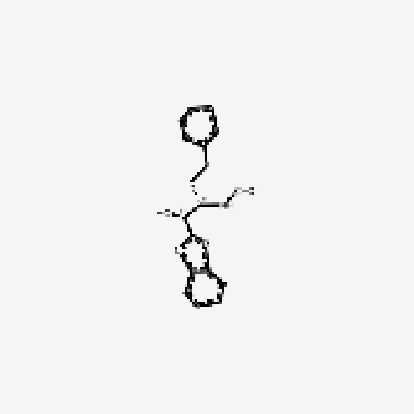 O=[C]N[C@@H](CCc1ccccc1)[C@H](O)c1nc2ccccc2o1